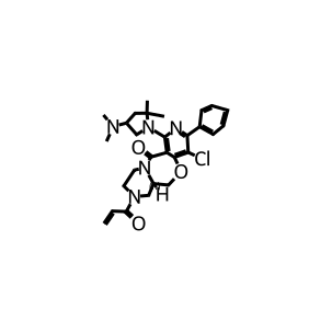 C=CC(=O)N1CCN2C(=O)c3c(N4CC(N(C)C)CC4(C)C)nc(-c4ccccc4)c(Cl)c3OC[C@H]2C1